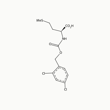 CSCC[C@H](NC(=O)OCc1ccc(Cl)cc1Cl)C(=O)O